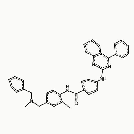 Cc1cc(CN(C)Cc2ccccc2)ccc1NC(=O)c1ccc(Nc2nc(-c3ccccc3)c3ccccc3n2)cc1